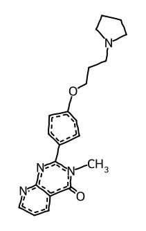 Cn1c(-c2ccc(OCCCN3CCCC3)cc2)nc2ncccc2c1=O